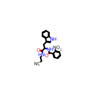 N#CCCNC(=O)C(Cc1c[nH]c2ccccc12)NC(=O)c1ccccc1[N+](=O)[O-]